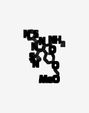 COCCOC1CCC(c2c(C(N)=O)nc(-c3cncs3)nc2-c2cncs2)CC1